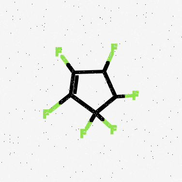 FC1=C(F)C(F)(F)C(F)C1F